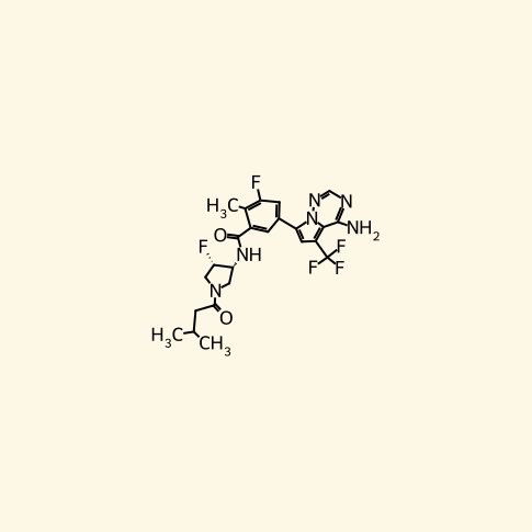 Cc1c(F)cc(-c2cc(C(F)(F)F)c3c(N)ncnn23)cc1C(=O)N[C@@H]1CN(C(=O)CC(C)C)C[C@@H]1F